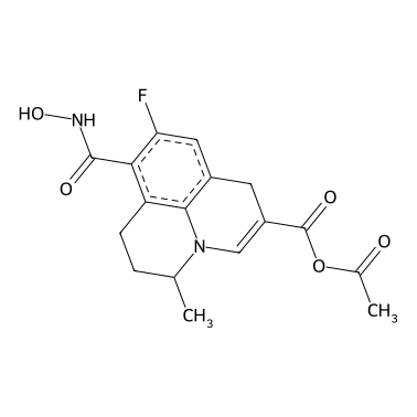 CC(=O)OC(=O)C1=CN2c3c(cc(F)c(C(=O)NO)c3CCC2C)C1